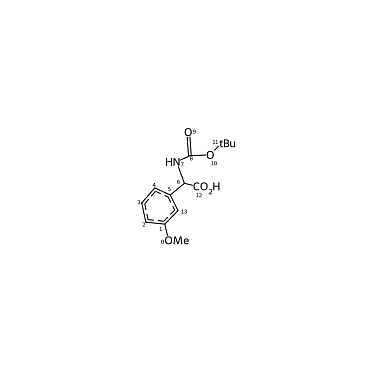 COc1cccc(C(NC(=O)OC(C)(C)C)C(=O)O)c1